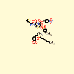 CCCCCCCC[S+]([O-])C(C)Cc1ccc2c(c1)OCO2.Cc1ccc(S(=O)(=O)OC2=C(C(=O)OCc3ccc([N+](=O)[O-])cc3)N3C(=O)C(NC(=O)Cc4cccs4)[C@H]3SC2)cc1